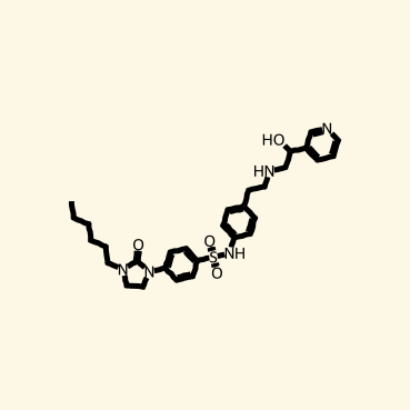 CCCCCCN1CCN(c2ccc(S(=O)(=O)Nc3ccc(CCNCC(O)c4cccnc4)cc3)cc2)C1=O